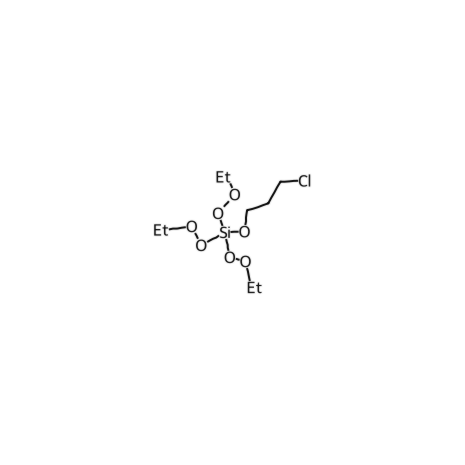 CCOO[Si](OCCCCl)(OOCC)OOCC